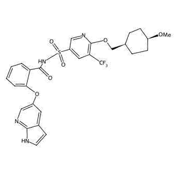 CO[C@H]1CC[C@@H](COc2ncc(S(=O)(=O)NC(=O)c3ccccc3Oc3cnc4[nH]ccc4c3)cc2C(F)(F)F)CC1